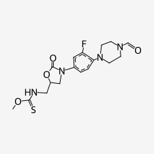 COC(=S)NCC1CN(c2ccc(N3CCN(C=O)CC3)c(F)c2)C(=O)O1